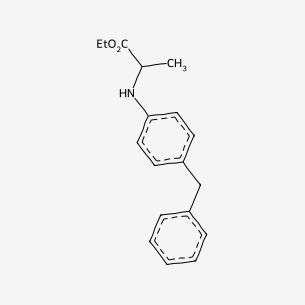 CCOC(=O)C(C)Nc1ccc(Cc2ccccc2)cc1